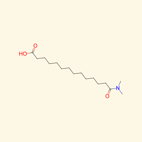 CN(C)C(=O)CCCCCCCCCCCCC(=O)O